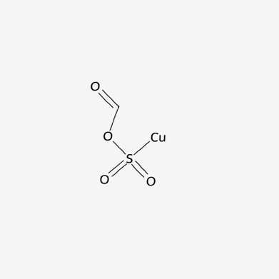 O=CO[S](=O)(=O)[Cu]